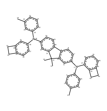 Cc1ccc(N(c2ccc3c(c2)C(C)(C)c2cc(N(c4cccc(C)c4)c4ccc5c(c4)CC5)ccc2-3)c2cccc3c2CC3)cc1